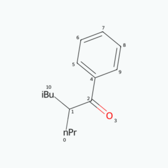 CCCC(C(=O)c1ccccc1)C(C)CC